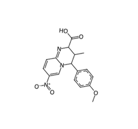 COc1ccc(C2C(C)C(C(=O)O)N=C3C=CC([N+](=O)[O-])=CN32)cc1